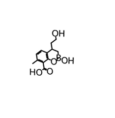 Cc1ccc2c(c1C(=O)O)OB(O)CC2CCO